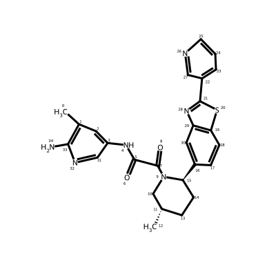 Cc1cc(NC(=O)C(=O)N2C[C@@H](C)CC[C@@H]2c2ccc3sc(-c4cccnc4)nc3c2)cnc1N